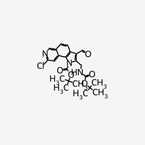 CC(C)(C)OC(=O)NCc1c(C=O)c2ccc3cnc(Cl)cc3c2n1C(=O)OC(C)(C)C